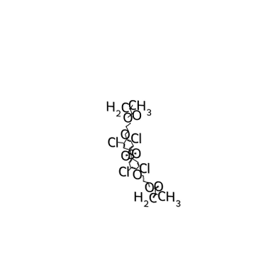 C=C(C)C(=O)OCCCOc1c(Cl)cc(S(=O)(=O)c2cc(Cl)c(OCCCOC(=O)C(=C)C)c(Cl)c2)cc1Cl